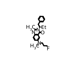 CC[C@H](Cc1ccccc1)n1c(C)nc2ccc(N(C)CCCF)cc2c1=O